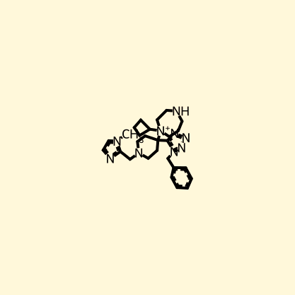 Cn1ccnc1CN1CCC(c2nnnn2Cc2ccccc2)([N+]2(C3CCC3)CCCNCC2)CC1